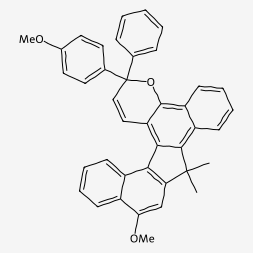 COc1ccc(C2(c3ccccc3)C=Cc3c4c(c5ccccc5c3O2)C(C)(C)c2cc(OC)c3ccccc3c2-4)cc1